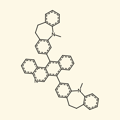 CN1c2ccccc2CCc2ccc(-c3c4ccccc4c(-c4ccc5c(c4)N(C)c4ccccc4CC5)c4c3cnc3ccccc34)cc21